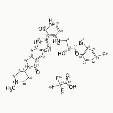 CN1CCC(N2Cc3cc4[nH]c(-c5c(NC[C@@H](O)COc6ccc(F)cc6Br)cc[nH]c5=O)nc4cc3C2=O)CC1.O=C(O)C(F)(F)F